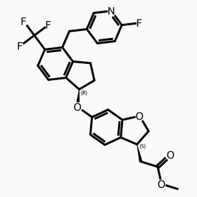 COC(=O)C[C@@H]1COc2cc(O[C@@H]3CCc4c3ccc(C(F)(F)F)c4Cc3ccc(F)nc3)ccc21